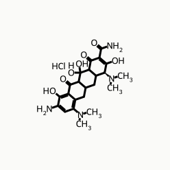 CN(C)c1cc(N)c(O)c2c1CC1CC3C(C(=O)C(C(N)=O)=C(O)[C@H]3N(C)C)C(O)(O)C1C2=O.Cl